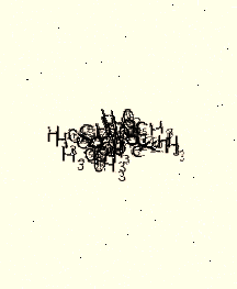 CCC(C)(C)c1cc(C(=O)NNC(=O)c2cc(C(C)(C)CC)cc(C(C)(C)CC)c2O)c(O)c(C(C)(C)CC)c1